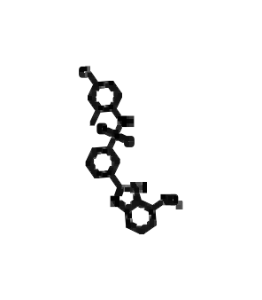 Cc1cc(Cl)ccc1NS(=O)(=O)c1cccc(-c2nc3cccc([N+](=O)[O-])c3[nH]2)c1